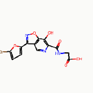 O=C(O)CNC(=O)c1ncc2c(-c3ccc(Br)o3)noc2c1O